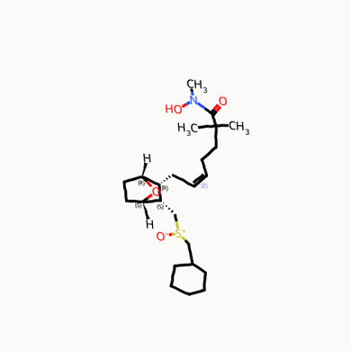 CN(O)C(=O)C(C)(C)CC/C=C\C[C@@H]1[C@H](C[S+]([O-])CC2CCCCC2)[C@@H]2CC[C@H]1O2